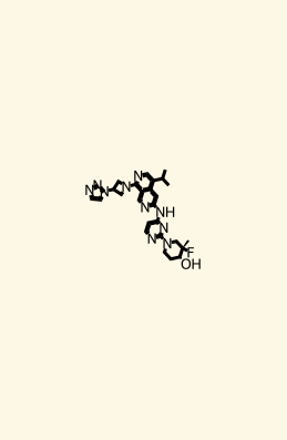 CC(C)c1cnc(N2CC(n3ccnn3)C2)c2cnc(Nc3ccnc(N4CC[C@@H](O)[C@@](C)(F)C4)n3)cc12